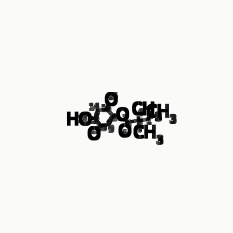 CCC(C)(C)C(=O)OC1=CC(=O)C(O)=CC1=O